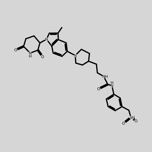 Cc1cn(C2CCC(=O)NC2=O)c2ccc(N3CCC(CCNC(=O)Nc4cccc(C[SH](=O)=O)c4)CC3)cc12